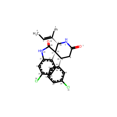 CC=C(C(C)C)[C@@H]1NC(=O)C[C@H](c2cccc(Cl)c2)[C@@]12C(=O)Nc1cc(Cl)ccc12